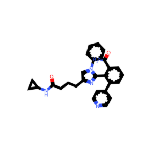 NC(=O)c1cccc(-c2ccncc2)c1-c1nc(CCCC(=O)NC2CC2)cn1-c1ccccc1